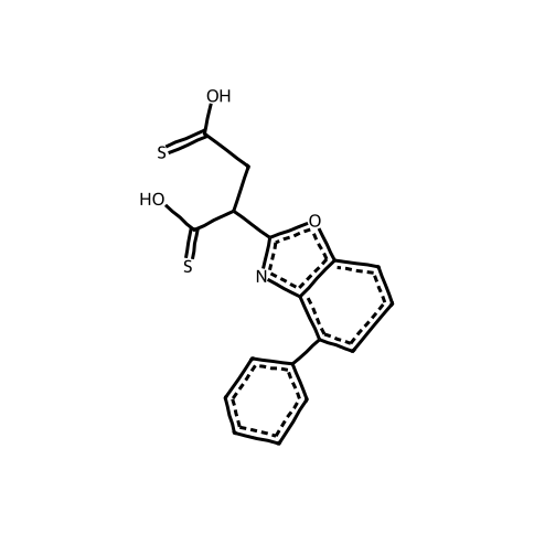 OC(=S)CC(C(O)=S)c1nc2c(-c3ccccc3)cccc2o1